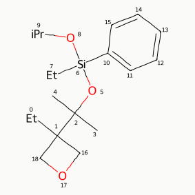 CCC1(C(C)(C)O[Si](CC)(OC(C)C)c2ccccc2)COC1